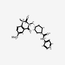 COc1ccc2c(c1)c(=O)n(C[C@H]1CC[C@H](C(=O)Nc3ccncc3)CC1)c(=O)n2C